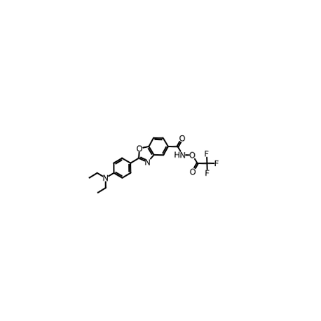 CCN(CC)c1ccc(-c2nc3cc(C(=O)NOC(=O)C(F)(F)F)ccc3o2)cc1